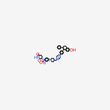 Cn1c(=O)n(C2CCC(=O)NC2=O)c2ccc(N3CCC(CN4CCN(c5ccc([C@@H]6c7ccc(O)cc7CC[C@@H]6c6ccccc6)cc5)CC4)CC3)cc21